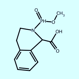 CO[PH](=O)N1CCc2ccccc2C1C(=O)O